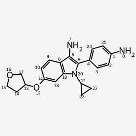 Nc1ccc(-c2c(N)c3ccc(OC4CCOC4)cc3n2C2CC2)cc1